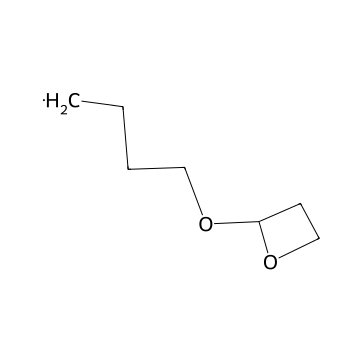 [CH2]CCCOC1CCO1